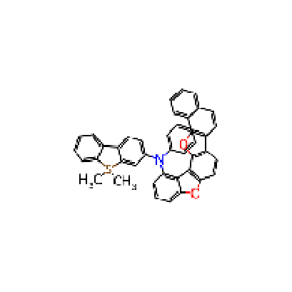 CS1(C)c2ccccc2-c2ccc(N(c3ccccc3)c3cccc4oc5ccc6c7ccc8ccccc8c7oc6c5c34)cc21